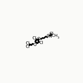 CC(Cl)=NOCCCCCOc1c(Cl)cc(OCC=C(Cl)Cl)cc1Cl